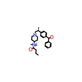 CCCC(=O)[N+](C)(C)C1CCN(C[C@@H](C)c2ccc(C(=O)c3ccccc3)cc2)CC1